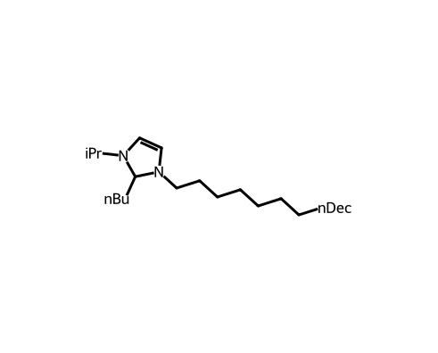 CCCCCCCCCCCCCCCCCN1C=CN(C(C)C)C1CCCC